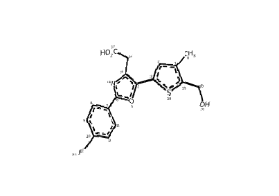 Cc1cc(-c2oc(-c3ccc(F)cc3)nc2CC(=O)O)sc1CO